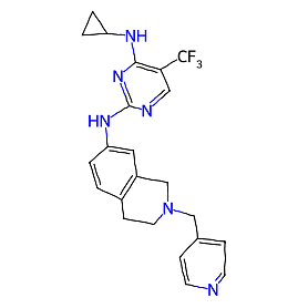 FC(F)(F)c1cnc(Nc2ccc3c(c2)CN(Cc2ccncc2)CC3)nc1NC1CC1